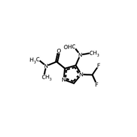 CN(C)C(=O)c1ncn(C(F)F)c1N(C)C=O